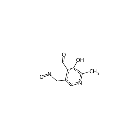 Cc1ncc(CN=O)c(C=O)c1O